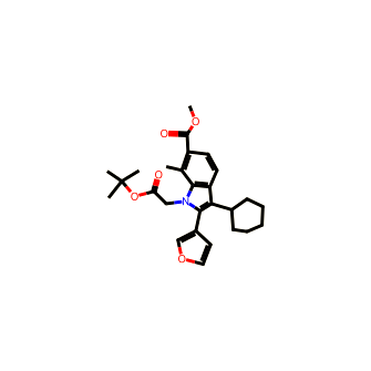 COC(=O)c1ccc2c(C3CCCCC3)c(-c3ccoc3)n(CC(=O)OC(C)(C)C)c2c1C